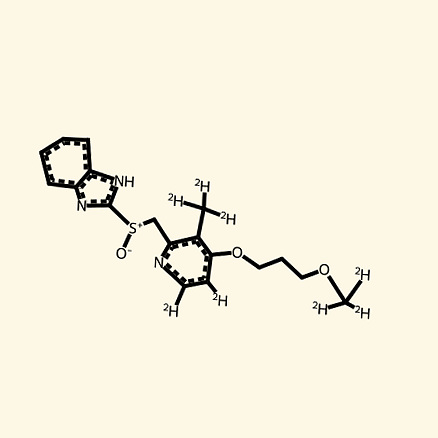 [2H]c1nc(C[S+]([O-])c2nc3ccccc3[nH]2)c(C([2H])([2H])[2H])c(OCCCOC([2H])([2H])[2H])c1[2H]